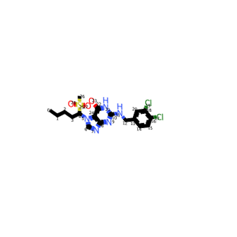 CCCCC(n1cnc2nc(NCc3ccc(Cl)c(Cl)c3)[nH]c(=O)c21)S(C)(=O)=O